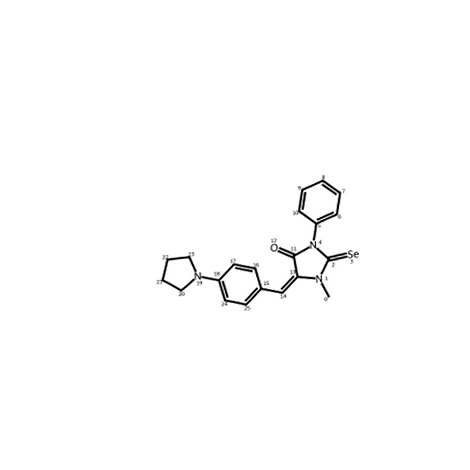 CN1C(=[Se])N(c2ccccc2)C(=O)C1=Cc1ccc(N2CCCC2)cc1